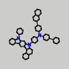 c1ccc(-c2ccc(N(c3ccc(-c4ccc5ccccc5c4)cc3)c3ccc(-n4c5cc6c(cc5c5c7ccccc7ccc54)c4ccccc4n6-c4ccccc4)cc3)cc2)cc1